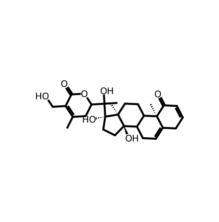 CC1=C(CO)C(=O)OC(C(C)(O)[C@]2(O)CC[C@@]3(O)C4CC=C5CC=CC(=O)[C@]5(C)C4CC[C@@]32C)C1